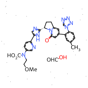 COCCN(C(=O)O)c1ccc(-c2cnc([C@@H]3CCc4cc(-c5cc(C)ccc5-n5cnnn5)cc(=O)n43)[nH]2)nc1.O=CO